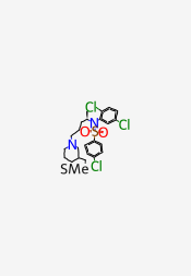 CSCC1CCCN(CCC[C@@H](C)N(c2cc(Cl)ccc2Cl)S(=O)(=O)c2ccc(Cl)cc2)C1